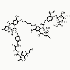 COc1cc2c(cc1OCCCCCOc1cc3c(cc1OC)C(=O)N1C=C(C)C[C@H]1[C@H](O)N3C(=O)OCc1ccc(O[C@@H]3O[C@H](C(=O)O)[C@@H](O)[C@H](O)[C@H]3O)c([N+](=O)[O-])c1)C(COCc1ccc(NC(=O)[C@H](C)NC(=O)[C@@H](NC(=O)C(C)(C)CO)C(C)C)cc1)[C@@H](O)[C@@H]1CC(C)=CN1C2=O